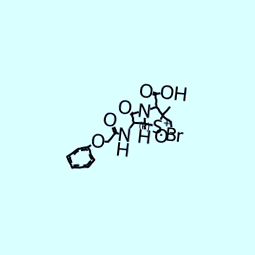 CC1(CBr)C(C(=O)O)N2C(=O)C(NC(=O)COc3ccccc3)[C@H]2[S+]1[O-]